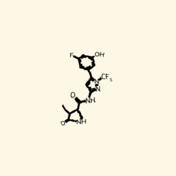 CC1C(=O)NCC1C(=O)Nc1cc(-c2cc(O)cc(F)c2)n(C(F)(F)F)n1